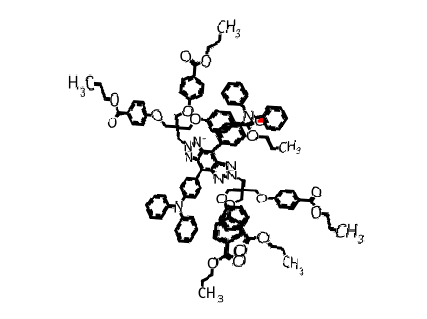 CCCOC(=O)c1ccc(OCC(COc2ccc(C(=O)OCCC)cc2)(COc2ccc(C(=O)OCCC)cc2)Cn2nc3c(-c4ccc(N(c5ccccc5)c5ccccc5)cc4)c4n[n+](CC(COc5ccc(C(=O)OCCC)cc5)(COc5ccc(C(=O)OCCC)cc5)COc5ccc(C(=O)OCCC)cc5)[n-]c4c(-c4ccc(N(c5ccccc5)c5ccccc5)cc4)c3n2)cc1